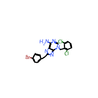 Nc1ncn(Cc2c(Cl)cccc2Cl)c2nc(Cc3ccc(Br)cc3)nc1-2